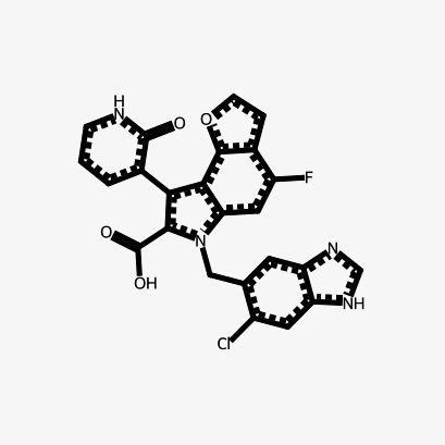 O=C(O)c1c(-c2ccc[nH]c2=O)c2c3occc3c(F)cc2n1Cc1cc2nc[nH]c2cc1Cl